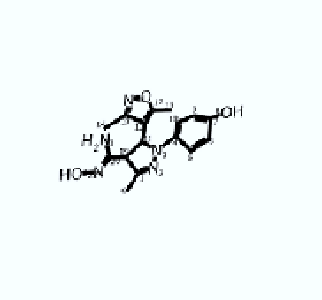 CC1=NN(c2ccc(O)cc2)C(c2c(C)noc2C)C1/C(N)=N/O